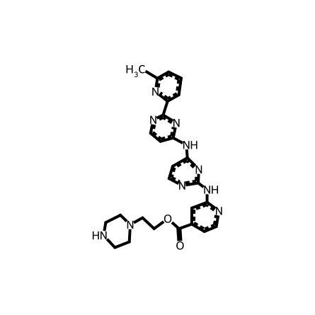 Cc1cccc(-c2nccc(Nc3ccnc(Nc4cc(C(=O)OCCN5CCNCC5)ccn4)n3)n2)n1